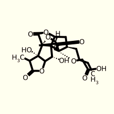 CCCC[C@@H]1CC2OC(=O)[C@@]34O[C@H]5OC(=O)[C@@H](OCC(=O)O)C15C23[C@H](O)C1OC(=O)C(C)[C@]14O